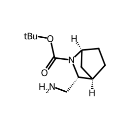 CC(C)(C)OC(=O)N1[C@H]2CC[C@H](C2)[C@@H]1CN